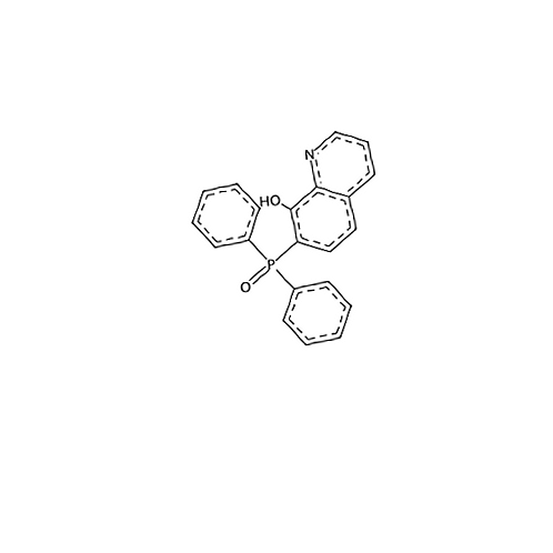 O=P(c1ccccc1)(c1ccccc1)c1ccc2cccnc2c1O